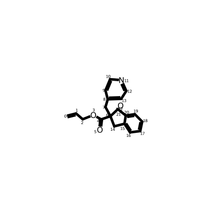 C=CCOC(=O)C1(Cc2ccncc2)Cc2ccccc2C1=O